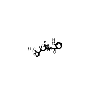 Cn1nccc1C(=O)CC(=NNC(=O)c1ccccc1O)C(F)(F)F